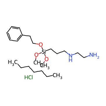 CCCCCCC.CO[Si](CCCNCCN)(OC)OCCc1ccccc1.Cl